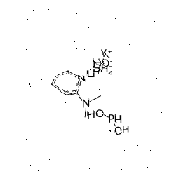 CN(C)c1ccccn1.OPO.[BH4-].[K+].[Li+].[OH-]